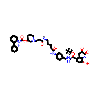 CN(CCCCC(=O)Nc1ccc(CNC[C@H](O[Si](C)(C)C(C)(C)C)c2ccc(O)c3c2CC(=O)C(=O)N3)cc1)C(=O)CCN1CCCC(OC(=O)Nc2ccccc2-c2ccccc2)C1